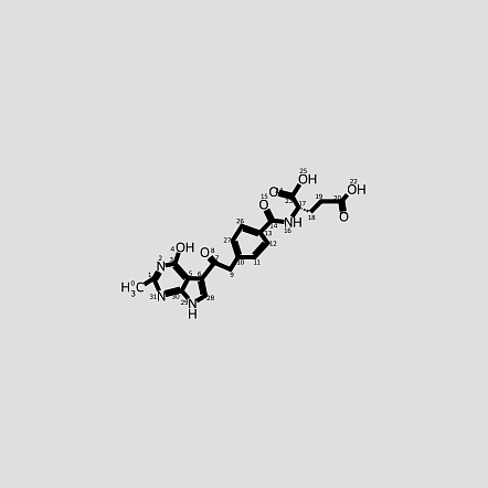 Cc1nc(O)c2c(C(=O)Cc3ccc(C(=O)N[C@@H](CCC(=O)O)C(=O)O)cc3)c[nH]c2n1